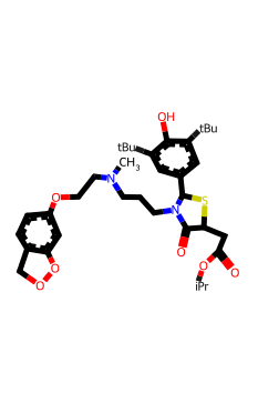 CC(C)OC(=O)CC1SC(c2cc(C(C)(C)C)c(O)c(C(C)(C)C)c2)N(CCCN(C)CCOc2ccc3c(c2)OOC3)C1=O